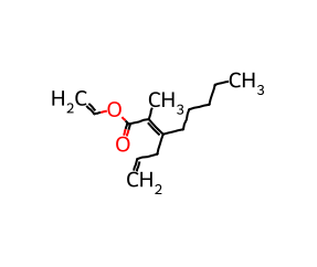 C=CCC(CCCCC)=C(C)C(=O)OC=C